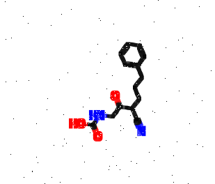 N#CC(CCCc1ccccc1)C(=O)CNC(=O)O